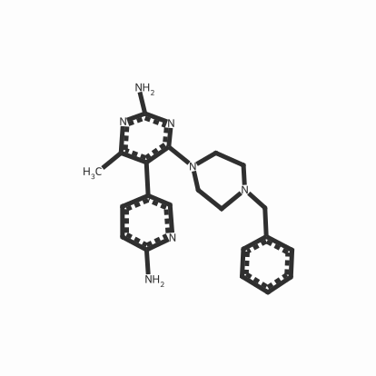 Cc1nc(N)nc(N2CCN(Cc3ccccc3)CC2)c1-c1ccc(N)nc1